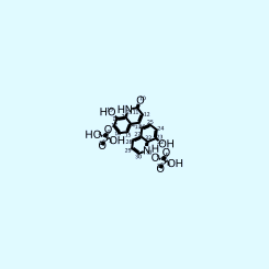 O=S(=O)(O)O.O=S(=O)(O)O.O=c1ccc2cccc(O)c2[nH]1.Oc1cccc2cccnc12